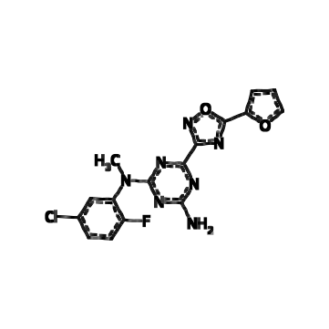 CN(c1nc(N)nc(-c2noc(-c3ccco3)n2)n1)c1cc(Cl)ccc1F